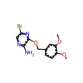 COc1ccc(COc2nc(Br)cnc2N)cc1OC